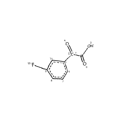 O=C(O)[13C](=O)c1cccc(F)c1